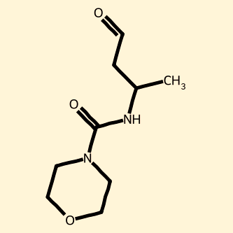 CC(CC=O)NC(=O)N1CCOCC1